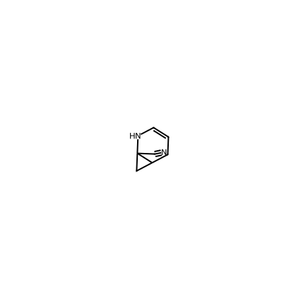 N#CC12CC1CC=CN2